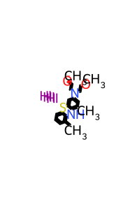 CCc1cccc2c1Nc1c(C)cc(N(CCOC)CCOC)cc1S2.I.I.I